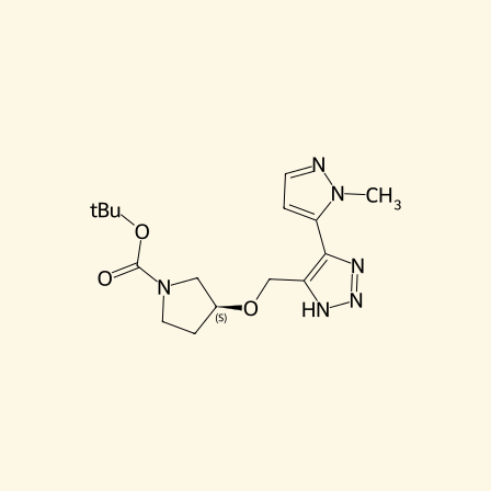 Cn1nccc1-c1nn[nH]c1CO[C@H]1CCN(C(=O)OC(C)(C)C)C1